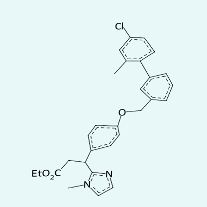 CCOC(=O)CC(c1ccc(OCc2cccc(-c3ccc(Cl)cc3C)c2)cc1)c1nccn1C